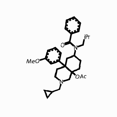 COc1cccc(C23CCN(CC4CC4)CC2(OC(C)=O)CCC(N(CC(C)C)C(=O)c2ccccc2)C3)c1